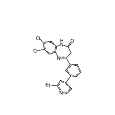 CCc1cc(-c2cccc(C3=Nc4cc(Cl)c(Cl)cc4NC(=O)C3)c2)ccn1